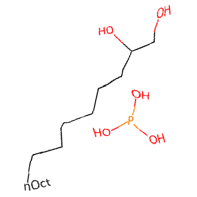 CCCCCCCCCCCCCCC(O)CO.OP(O)O